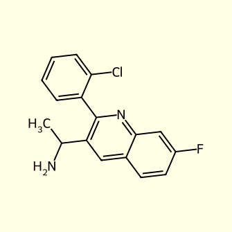 CC(N)c1cc2ccc(F)cc2nc1-c1ccccc1Cl